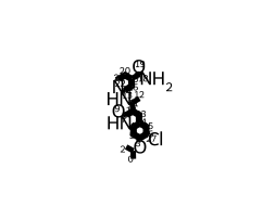 CC(C)Oc1cc2[nH]c(=O)c(C(C)Nc3cc(C(N)=O)ccn3)cc2cc1Cl